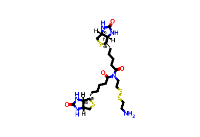 NCCSSCCN(C(=O)CCCC[C@@H]1SC[C@@H]2NC(=O)N[C@@H]21)C(=O)CCCC[C@@H]1SC[C@@H]2NC(=O)N[C@@H]21